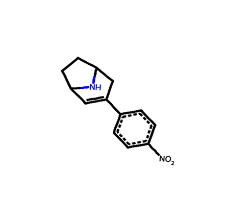 O=[N+]([O-])c1ccc(C2=CC3CCC(C2)N3)cc1